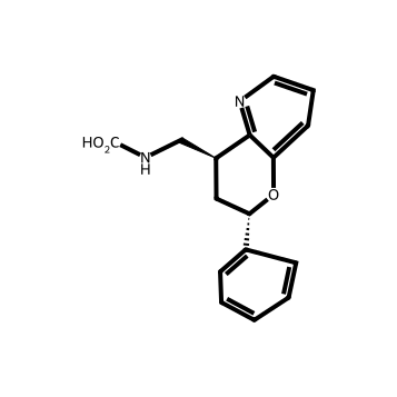 O=C(O)NC[C@@H]1C[C@@H](c2ccccc2)Oc2cccnc21